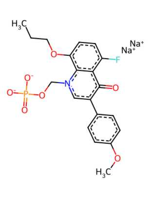 CCCOc1ccc(F)c2c(=O)c(-c3ccc(OC)cc3)cn(COP(=O)([O-])[O-])c12.[Na+].[Na+]